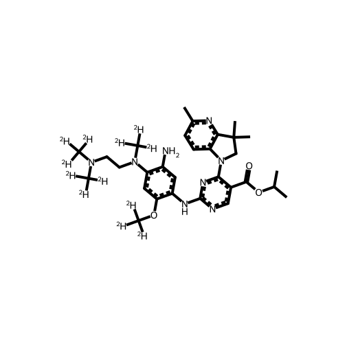 [2H]C([2H])([2H])Oc1cc(N(CCN(C([2H])([2H])[2H])C([2H])([2H])[2H])C([2H])([2H])[2H])c(N)cc1Nc1ncc(C(=O)OC(C)C)c(N2CC(C)(C)c3nc(C)ccc32)n1